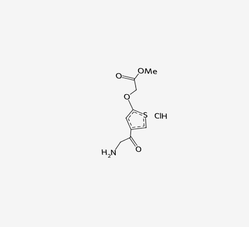 COC(=O)COc1cc(C(=O)CN)cs1.Cl